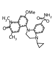 COc1cc(N2CCN(C3CC3)c3ccc(S(N)(=O)=O)cc32)c2cc(C)c(=O)n(C)c2c1